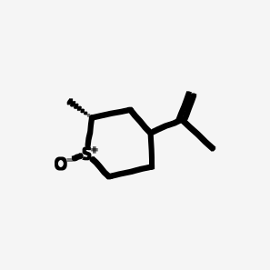 C=C(C)C1CC[S+]([O-])[C@H](C)C1